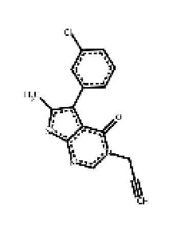 C#CCn1cnc2sc(C)c(-c3cccc(Cl)c3)c2c1=O